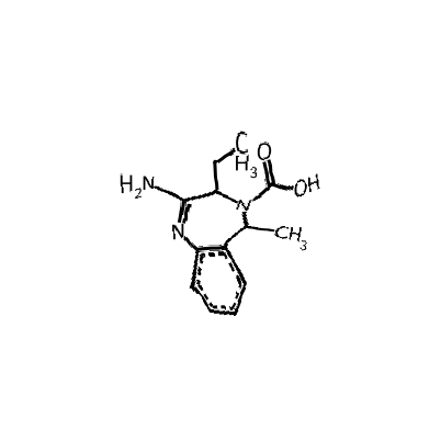 CCC1C(N)=Nc2ccccc2C(C)N1C(=O)O